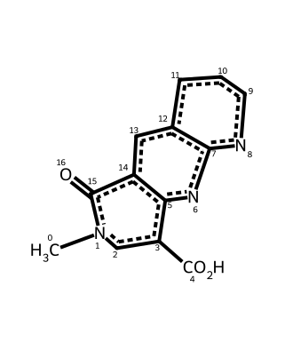 Cn1cc(C(=O)O)c2nc3ncccc3cc2c1=O